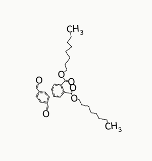 CCCCCCCCOC(=O)c1ccccc1C(=O)OCCCCCCCC.O=Cc1ccc(C=O)cc1